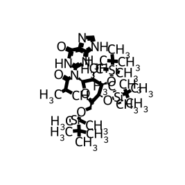 CC(C)C(=O)N(c1nc2[nH]cnc2c(=O)[nH]1)[C@@H]1O[C@H](CO[Si](C)(C)C(C)(C)C)[C@@H](O[Si](C)(C)C(C)(C)C)[C@H](O[Si](C)(C)C(C)(C)C)[C@H]1O